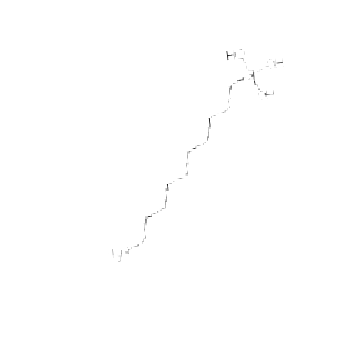 NCCCCCCCCCC[Si](O)(O)O